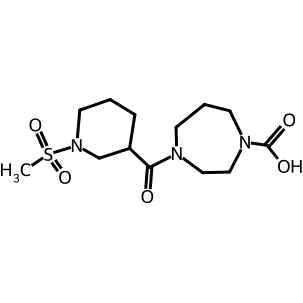 CS(=O)(=O)N1CCCC(C(=O)N2CCCN(C(=O)O)CC2)C1